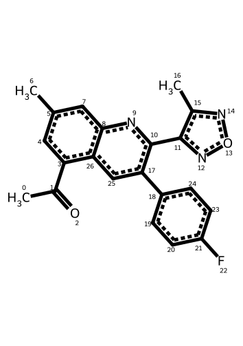 CC(=O)c1cc(C)cc2nc(-c3nonc3C)c(-c3ccc(F)cc3)cc12